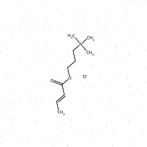 CC=CC(=O)OCCC[N+](C)(C)C.[Cl-]